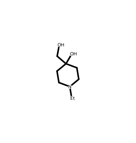 CCN1CCC(O)(CO)CC1